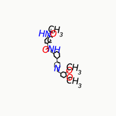 COc1ccc(CN2CC=C(c3cccc(CNC(=O)c4ccc(NC(C)=O)cc4)c3)CC2)cc1OC